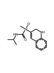 CC(C)NC(=O)[N+](C)([O-])C1=Cc2ccccc2NC1